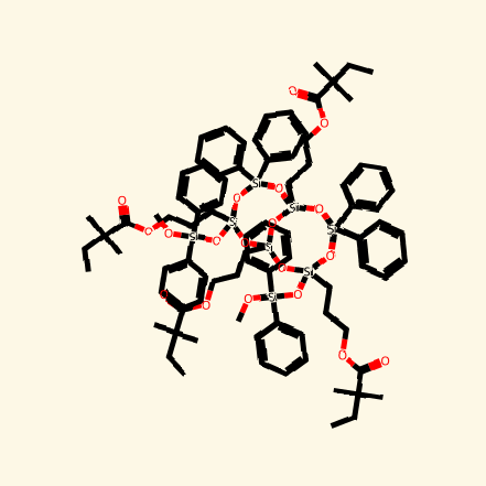 CCC(C)(C)C(=O)OCCC[Si]12O[Si](CCCOC(=O)C(C)(C)CC)(O[Si](OC)(c3ccccc3)c3ccccc3)O[Si](c3ccccc3)(c3ccccc3)O[Si](CCCOC(=O)C(C)(C)CC)(O1)O[Si](c1ccccc1)(c1ccccc1)O[Si](CCCOC(=O)C(C)(C)CC)(O[Si](OC)(c1ccccc1)c1ccccc1)O2